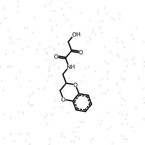 O=C(CO)C(=O)NCC1COc2ccccc2O1